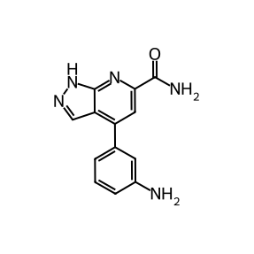 NC(=O)c1cc(-c2cccc(N)c2)c2cn[nH]c2n1